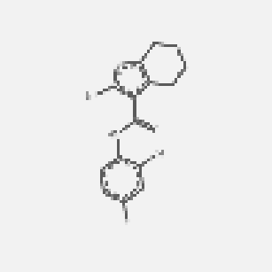 O=C(Nc1ccc(F)cc1S)c1c(Br)sc2c1CCCC2